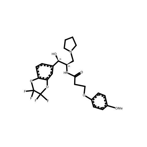 COc1ccc(OCCC(=O)N[C@H](CN2CCCC2)[C@H](O)c2ccc3c(c2)OC(F)(F)C(F)(F)O3)cc1